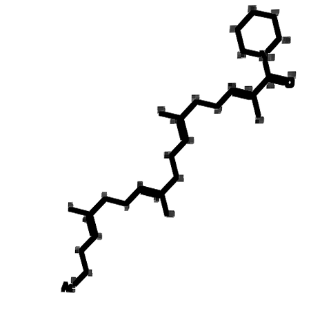 CC(=O)CCC=C(C)CCC=C(C)CCC=C(C)CCC=C(C)C(=O)N1CCCCC1